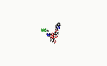 COc1cccc(O[C@@H]2COc3ccc(OCc4ccc5ccccc5n4)cc3[C@@H]2OC(=O)CN(C)C)c1.Cl.Cl